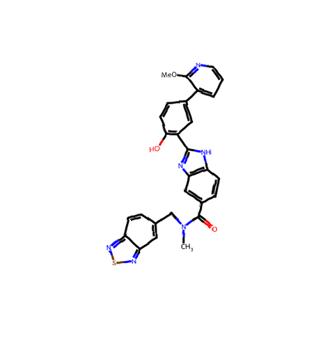 COc1ncccc1-c1ccc(O)c(-c2nc3cc(C(=O)N(C)Cc4ccc5nsnc5c4)ccc3[nH]2)c1